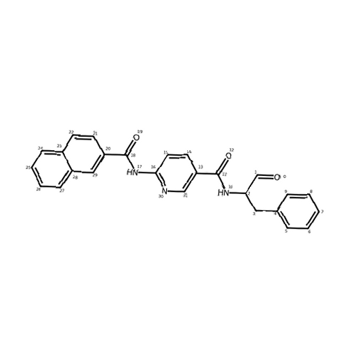 O=CC(Cc1ccccc1)NC(=O)c1ccc(NC(=O)c2ccc3ccccc3c2)nc1